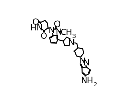 Cn1c(=O)n(C2CCC(=O)NC2=O)c2cccc(C3CCN(CC4CCC(n5cc6cc(N)ccc6n5)CC4)CC3)c21